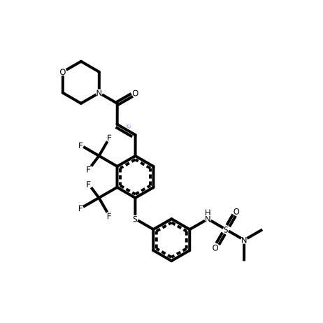 CN(C)S(=O)(=O)Nc1cccc(Sc2ccc(/C=C/C(=O)N3CCOCC3)c(C(F)(F)F)c2C(F)(F)F)c1